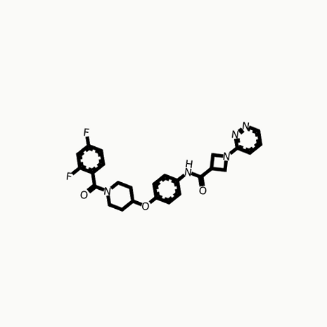 O=C(Nc1ccc(OC2CCN(C(=O)c3ccc(F)cc3F)CC2)cc1)C1CN(c2cccnn2)C1